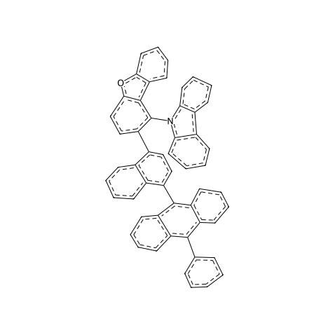 c1ccc(-c2c3ccccc3c(-c3ccc(-c4ccc5oc6ccccc6c5c4-n4c5ccccc5c5ccccc54)c4ccccc34)c3ccccc23)cc1